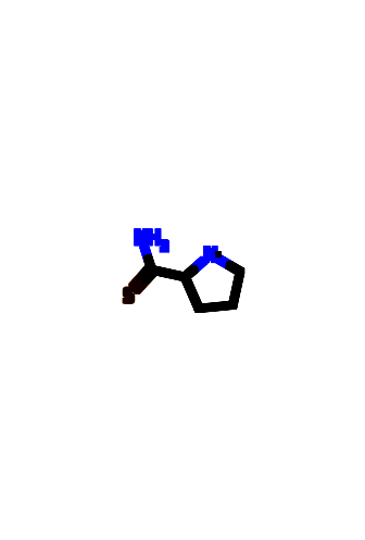 NC(=S)C1CCC[N]1